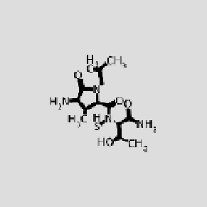 CC(C)CN1C(=O)C(N)C(C)C1C(=O)N(S)[C@H](C(N)=O)[C@@H](C)O